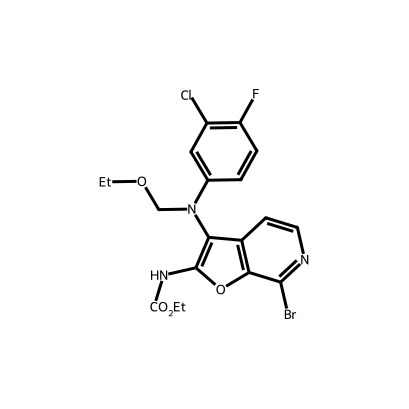 CCOCN(c1ccc(F)c(Cl)c1)c1c(NC(=O)OCC)oc2c(Br)nccc12